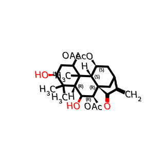 C=C1C(=O)[C@]23CC1C[C@H](OC(C)=O)[C@H]2C1(C)C(OC(C)=O)C[C@H](O)C(C)(C)[C@H]1C(O)[C@@H]3OC(C)=O